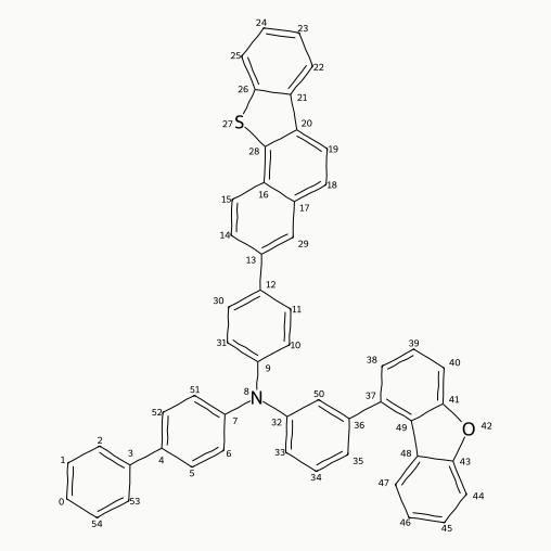 c1ccc(-c2ccc(N(c3ccc(-c4ccc5c(ccc6c7ccccc7sc56)c4)cc3)c3cccc(-c4cccc5oc6ccccc6c45)c3)cc2)cc1